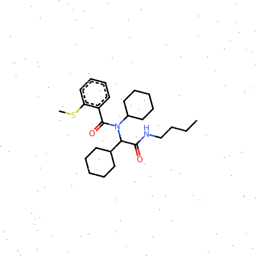 CCCCNC(=O)C(C1CCCCC1)N(C(=O)c1ccccc1SC)C1CCCCC1